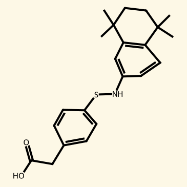 CC1(C)CCC(C)(C)c2cc(NSc3ccc(CC(=O)O)cc3)ccc21